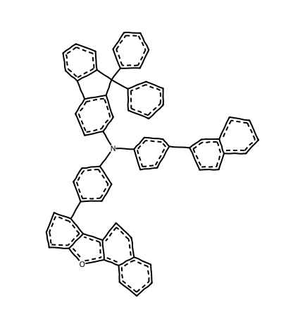 c1ccc(C2(c3ccccc3)c3ccccc3-c3ccc(N(c4ccc(-c5ccc6ccccc6c5)cc4)c4ccc(-c5cccc6oc7c8ccccc8ccc7c56)cc4)cc32)cc1